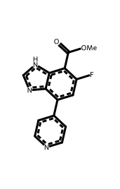 COC(=O)c1c(F)cc(-c2ccncc2)c2nc[nH]c12